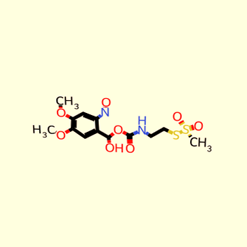 COc1cc(N=O)c(C(O)OC(=O)NCCSS(C)(=O)=O)cc1OC